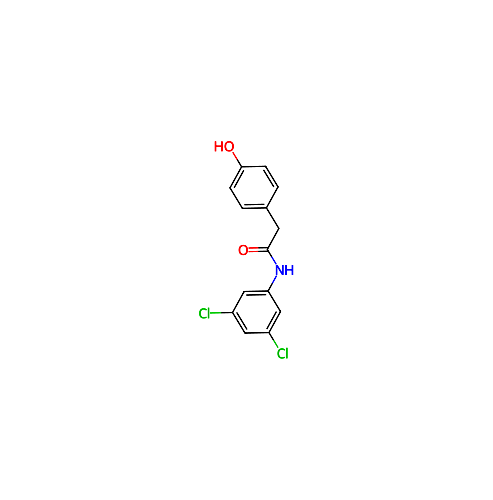 O=C(Cc1ccc(O)cc1)Nc1cc(Cl)cc(Cl)c1